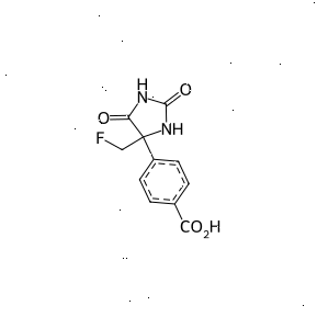 O=C1NC(=O)C(CF)(c2ccc(C(=O)O)cc2)N1